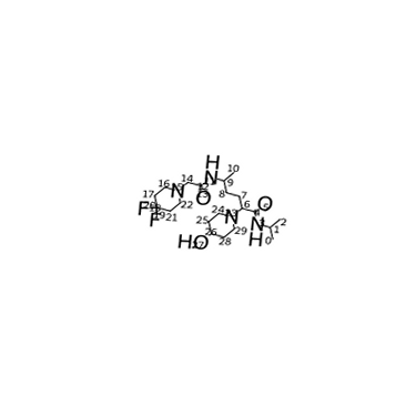 CC(C)NC(=O)C(CCC(C)NC(=O)CN1CCC(F)(F)CC1)N1CCC(O)CC1